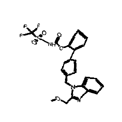 COCc1nc2ccccc2n1Cc1ccc(-c2ccccc2OC(=O)NS(=O)(=O)C(F)(F)F)cc1